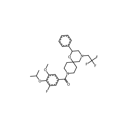 COc1cc(C(=O)N2CCC3(CC2)CN(CC(F)(F)F)CC(c2ccccc2)O3)cc(F)c1OC(C)C